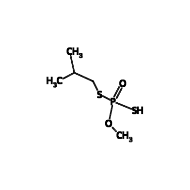 COP(=O)(S)SCC(C)C